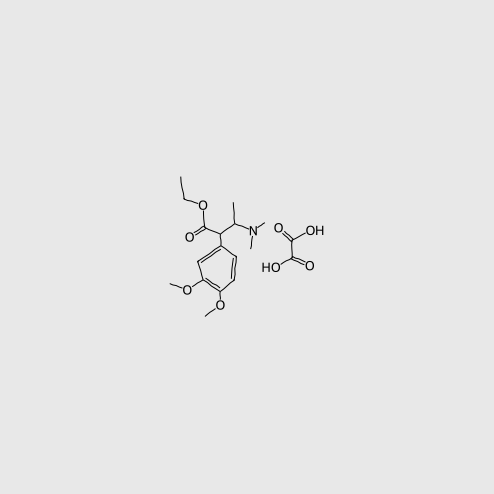 CCOC(=O)C(c1ccc(OC)c(OC)c1)C(C)N(C)C.O=C(O)C(=O)O